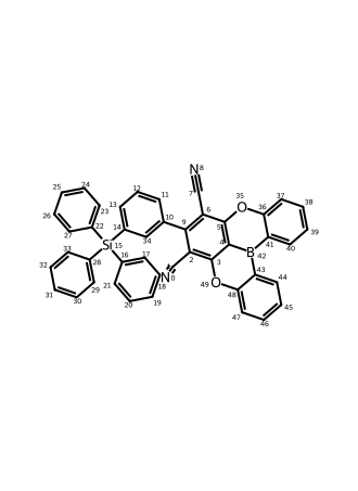 N#Cc1c2c3c(c(C#N)c1-c1cccc([Si](c4ccccc4)(c4ccccc4)c4ccccc4)c1)Oc1ccccc1B3c1ccccc1O2